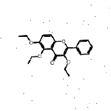 CCOc1ccc2oc(-c3ccccc3)c(OCC)c(=O)c2c1OCC